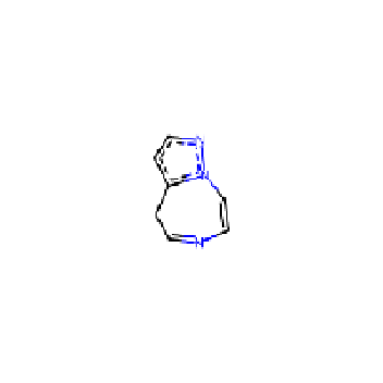 C1=Cn2nccc2CC=N1